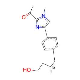 CC(=O)c1nc(-c2ccc(C[C@H](C)CCO)cc2)cn1C